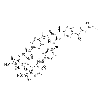 CCCCC(CC)COC(=O)c1ccc(Nc2nc(Nc3ccc(-c4nc5cc(C(C)(C)CC)ccc5o4)cc3)nc(Nc3ccc(-c4nc5cc(C(C)(C)CC)ccc5o4)cc3)n2)cc1